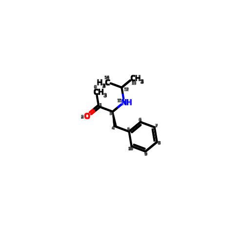 CC(=O)[C@H](Cc1ccccc1)NC(C)C